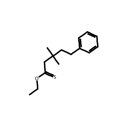 CCOC(=S)CC(C)(C)CCc1ccccc1